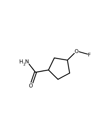 NC(=O)C1CCC(OF)C1